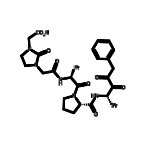 CC(C)[C@H](NC(=O)[C@@H]1CCCN1C(=O)[C@@H](NC(=O)CN1CCN(CC(=O)O)C1=O)C(C)C)C(=O)C(=O)Cc1ccccc1